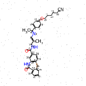 C/C(=C\N=C(/C)c1ccc(OCCCCCC#N)cc1)CNC(=O)c1ccc2c(c1)NC(=O)c1ccccc1S2